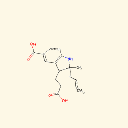 C=CCC1(C)Nc2ccc(C(=O)O)cc2C1CCC(=O)O